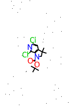 CC(C)(C)OC(=O)N1CC(C)(C)c2cc(Cl)nc(Cl)c21